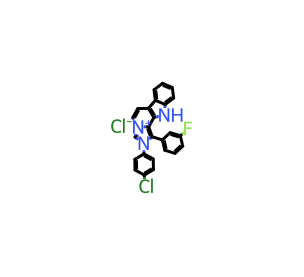 Fc1cccc(-c2c3c4[nH]c5ccccc5c4cc[n+]3cn2-c2ccc(Cl)cc2)c1.[Cl-]